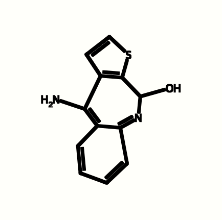 NC1=c2ccccc2=NC(O)c2sccc21